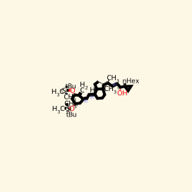 C=C1/C(=C\C=C2/CCC[C@]3(C)[C@@H]([C@H](C)/C=C/[C@@H](O)C4(CCCCCC)CC4)CC[C@@H]23)C[C@@H](O[Si](C)(C)C(C)(C)C)C[C@@H]1O[Si](C)(C)C(C)(C)C